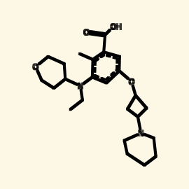 CCN(c1cc(OC2CC(N3CCCCC3)C2)cc(C(=O)O)c1C)C1CCOCC1